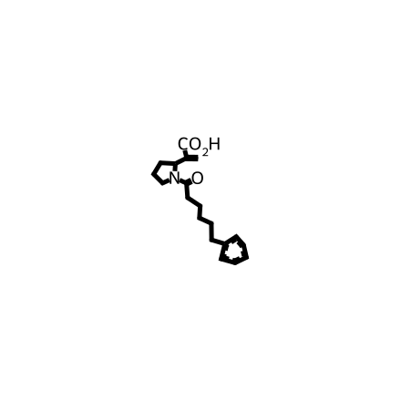 C=C(C(=O)O)C1CCCN1C(=O)CCCCCc1ccccc1